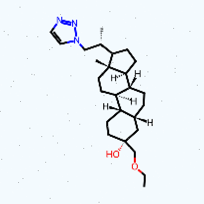 CCOC[C@@]1(O)CC[C@H]2[C@H](CC[C@@H]3[C@@H]2CC[C@]2(C)C([C@@H](C)Cn4ccnn4)CC[C@@H]32)C1